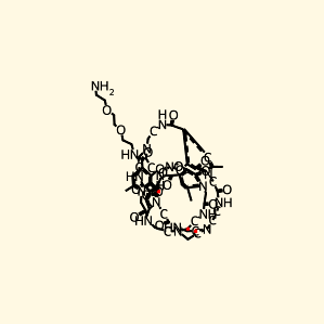 Cc1cc(C(=O)NCCOCCOCCN)c2c(=O)n1CC(=O)NCCN1CCNC(=O)Cn3c(C)cc4c(c3=O)O[N+]3(O2)Oc2c5cc(C)n(c2=O)CC(=O)NCCN(CCNC(=O)Cn2c(C)cc(c(c2=O)O3)C(=O)NCCN(CCNC4=O)CCNC5=O)CC1